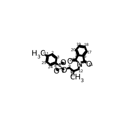 Cc1ccc(S(=O)(=O)OC[C@@H](C)CN2C(=O)c3ccccc3C2=O)cc1